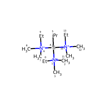 CC[N+](C)(C)[Ti]([CH](C)C)([N+](C)(C)CC)[N+](C)(C)CC